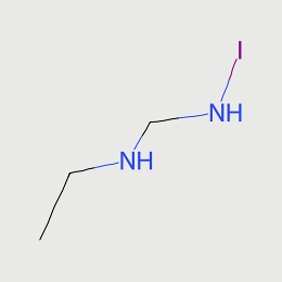 CCNCNI